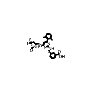 Cc1cccc(C)c1-c1cc(OCC(CC(F)(F)F)NC=O)nc(NSc2cccc(C(=O)O)c2)n1